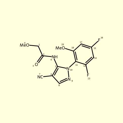 COCC(=O)Nc1c(C#N)cnn1-c1c(F)cc(F)cc1OC